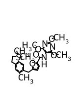 COc1nc(OC)c(NC(=O)c2ccc(Cc3cc4c(cc3C)CC[Si]4(C)C)o2)c(OC)n1